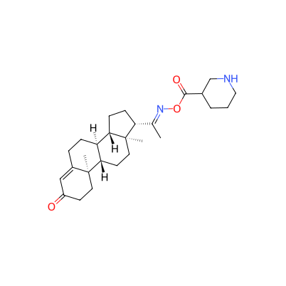 C/C(=N\OC(=O)C1CCCNC1)[C@H]1CC[C@H]2[C@@H]3CCC4=CC(=O)CC[C@]4(C)[C@H]3CC[C@]12C